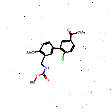 COC(=O)c1ccc(Cl)c(-c2ccc(OC)c(CNC(=O)OC(C)(C)C)c2)c1